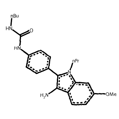 CCCCNC(=O)Nc1ccc(-c2c(N)c3ccc(OC)cc3n2CCC)cc1